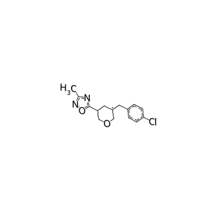 Cc1noc(C2COC[C](Cc3ccc(Cl)cc3)C2)n1